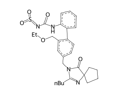 CCCCC1=NC2(CCCC2)C(=O)N1Cc1ccc(-c2ccccc2NC(=O)N=S(=O)=O)c(COCC)c1